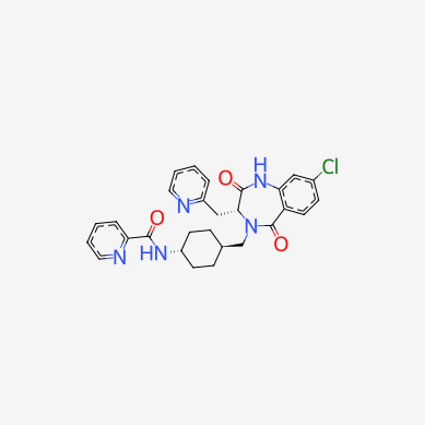 O=C(N[C@H]1CC[C@H](CN2C(=O)c3ccc(Cl)cc3NC(=O)[C@H]2Cc2ccccn2)CC1)c1ccccn1